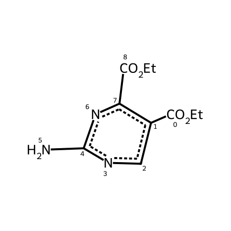 CCOC(=O)c1cnc(N)nc1C(=O)OCC